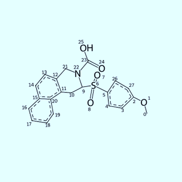 COc1ccc(S(=O)(=O)C2Cc3c(ccc4ccccc34)CN2C(=O)O)cc1